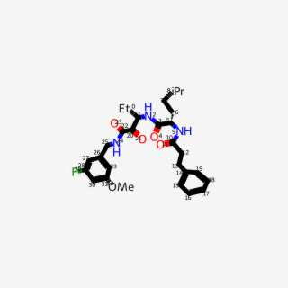 CCC(NC(=O)[C@H](CCC(C)C)NC(=O)CCc1ccccc1)C(=O)C(=O)NCc1cc(F)cc(OC)c1